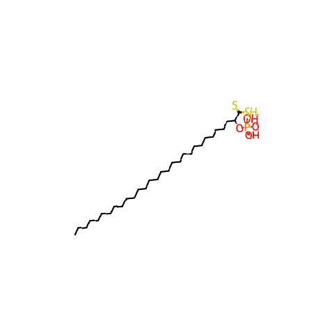 CCCCCCCCCCCCCCCCCCCCCCCCCCCCC(OP(=O)(O)O)C(=S)S